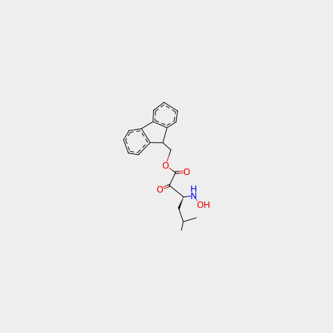 CC(C)C[C@H](NO)C(=O)C(=O)OCC1c2ccccc2-c2ccccc21